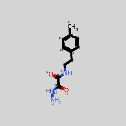 Cc1ccc(CCNC(=O)C(=O)NN)cc1